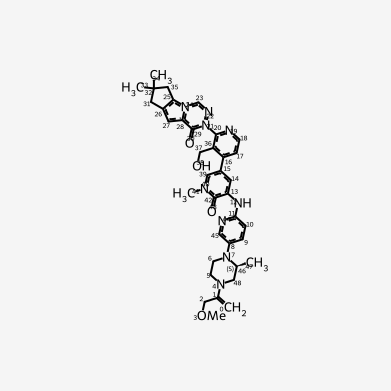 C=C(COC)N1CCN(c2ccc(Nc3cc(-c4ccnc(-n5ncn6c7c(cc6c5=O)CC(C)(C)C7)c4CO)cn(C)c3=O)nc2)[C@@H](C)C1